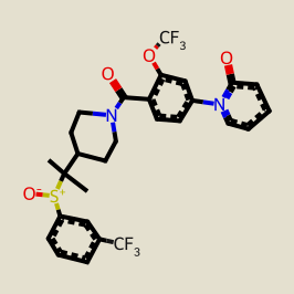 CC(C)(C1CCN(C(=O)c2ccc(-n3ccccc3=O)cc2OC(F)(F)F)CC1)[S+]([O-])c1cccc(C(F)(F)F)c1